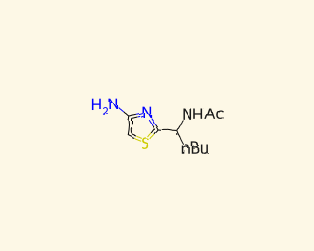 CCCC[C](NC(C)=O)c1nc(N)cs1